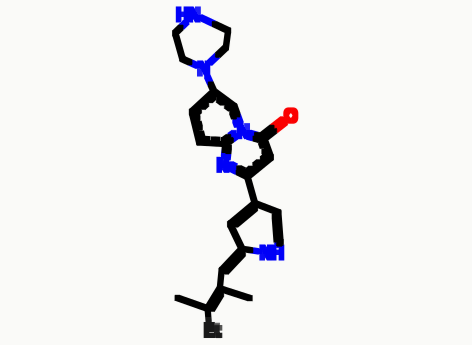 CC/C(C)=C(C)/C=C1/C=C(c2cc(=O)n3cc(N4CCNCC4)ccc3n2)C=CN1